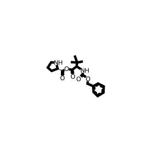 CC(C)(C)C(NC(=O)OCc1ccccc1)C(=O)OC(=O)[C@@H]1CCCN1